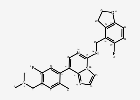 Cc1cc(CN(C)C)c(F)cc1-c1cnc(NCc2c(F)ccc3c2CCO3)n2ccnc12